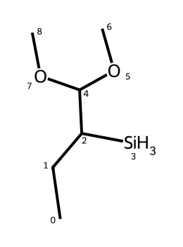 CCC([SiH3])C(OC)OC